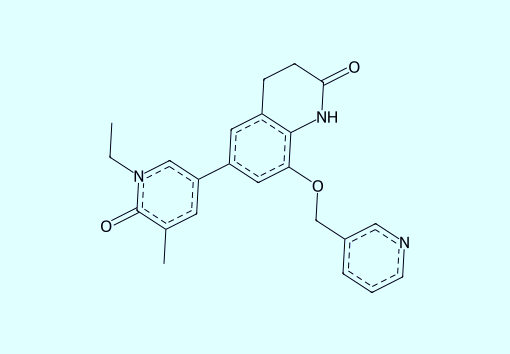 CCn1cc(-c2cc3c(c(OCc4cccnc4)c2)NC(=O)CC3)cc(C)c1=O